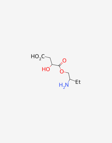 CCC(N)COC(=O)C(O)CC(=O)O